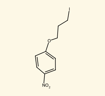 O=[N+]([O-])c1ccc(OCCCI)cc1